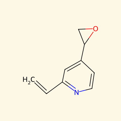 C=Cc1cc(C2CO2)ccn1